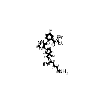 CCN(C(=O)c1cc(F)ccc1Oc1nncnc1N1CCC2(C1)CN(C(CCCCN)C(C)C)C2)C(C)C